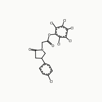 O=C(CN1CC(c2ccc(Cl)cc2)CC1=O)Oc1c(Cl)c(Cl)c(Cl)c(Cl)c1Cl